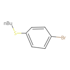 CCCCSc1ccc(Br)cc1